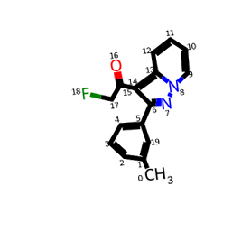 Cc1cccc(-c2nn3ccccc3c2C(=O)CF)c1